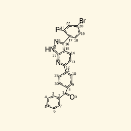 O=C(c1ccccc1)c1ccc(-c2ccc3c(-c4ccc(Br)cc4F)n[nH]c3n2)cc1